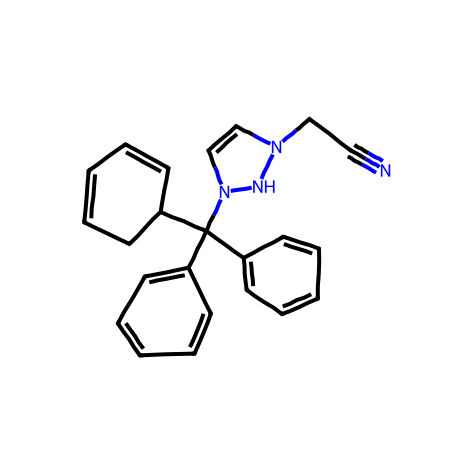 N#CCN1C=CN(C(c2ccccc2)(c2ccccc2)C2C=CC=CC2)N1